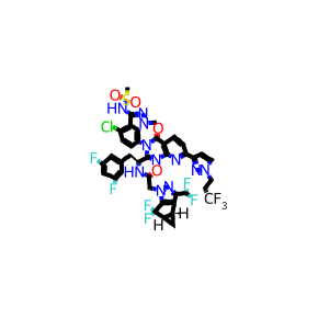 Cn1nc(NS(C)(=O)=O)c2c(Cl)ccc(-n3c([C@H](Cc4cc(F)cc(F)c4)NC(=O)Cn4nc(C(F)F)c5c4C(F)(F)[C@@H]4C[C@H]54)nc4nc(-c5ccn(CCC(F)(F)F)n5)ccc4c3=O)c21